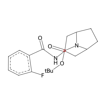 CC(C)(C)OC(=O)N1C2CCC1CC(NC(=O)c1ccccc1F)C2